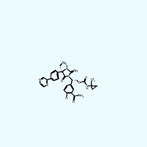 CC(C)(C)C[C@]1(c2ccc(-c3cnccn3)cc2)NC(=N)N([C@H](COC(=O)NC2(C(F)(F)F)CC2)c2ccc(Cl)c(C(N)=O)c2)C1=O